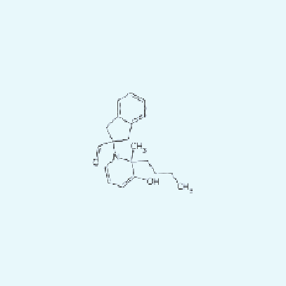 CCCC[C@]1(C)C(O)=CC=CN1C1(C=O)Cc2ccccc2C1